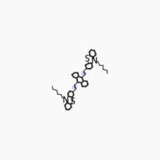 CCCCCCN1c2ccccc2Sc2cc(/C=C/c3c4ccccc4c(/C=C/c4ccc5c(c4)Sc4ccccc4N5CCCCCC)c4ccccc34)ccc21